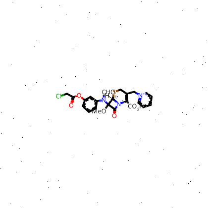 COC1(N(C=O)c2cccc(OC(=O)CCl)c2)C(=O)N2C(C(=O)O)=C(C[n+]3ccccc3)CS[C@@H]21